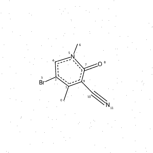 Cc1c(Br)cn(C)c(=O)c1C#N